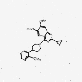 COc1cc2nc(C3CC3)nc(N3CCC(c4ccccc4OC)CC3)c2cc1OC